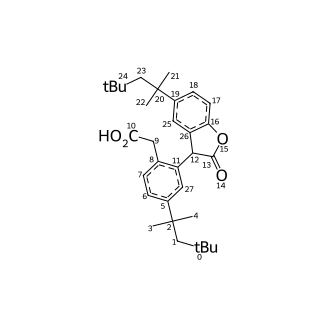 CC(C)(C)CC(C)(C)c1ccc(CC(=O)O)c(C2C(=O)Oc3ccc(C(C)(C)CC(C)(C)C)cc32)c1